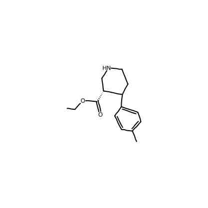 CCOC(=O)[C@@H]1CNCCC1c1ccc(C)cc1